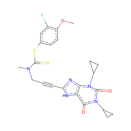 COc1ccc(SC(=S)N(C)CC#Cc2nc3c([nH]2)c(=O)n(C2CC2)c(=O)n3C2CC2)cc1F